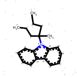 CCCC(C)(CCC)n1c2ccccc2c2ccccc21